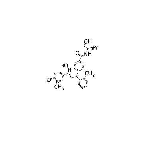 Cc1ccccc1C(CC(=NO)c1ccc(=O)n(C)c1)c1ccc(C(=O)NC(CO)C(C)C)cc1